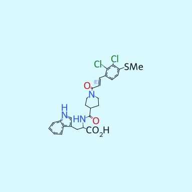 CSc1ccc(/C=C/C(=O)N2CCC(C(=O)NC(Cc3c[nH]c4ccccc34)C(=O)O)CC2)c(Cl)c1Cl